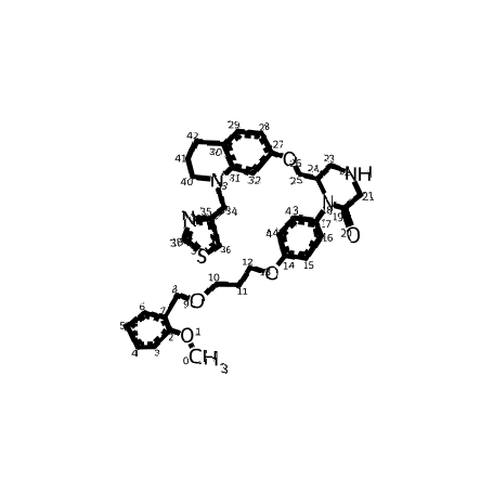 COc1ccccc1COCCCOc1ccc(N2C(=O)CNCC2COc2ccc3c(c2)N(Cc2cscn2)CCC3)cc1